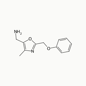 Cc1nc(COc2ccccc2)oc1CN